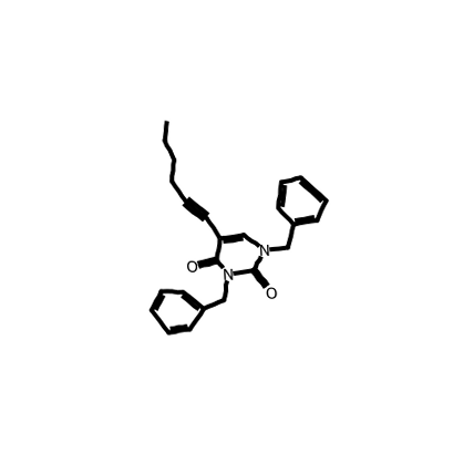 CCCCC#Cc1cn(Cc2ccccc2)c(=O)n(Cc2ccccc2)c1=O